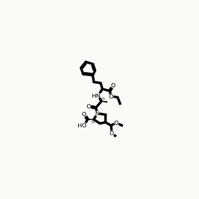 CCOC(=O)C(CCc1ccccc1)N[C@@H](C)C(=O)N1CC(C(OC)OC)C[C@H]1C(=O)O